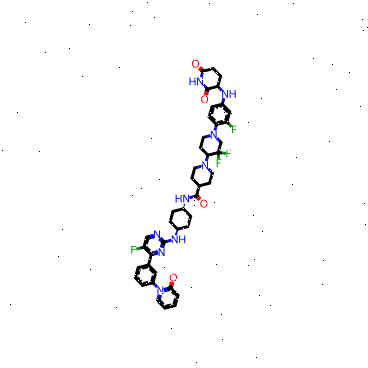 O=C1CCC(Nc2ccc(N3CCC(N4CCC(C(=O)N[C@H]5CC[C@H](Nc6ncc(F)c(-c7cccc(-n8ccccc8=O)c7)n6)CC5)CC4)C(F)(F)C3)c(F)c2)C(=O)N1